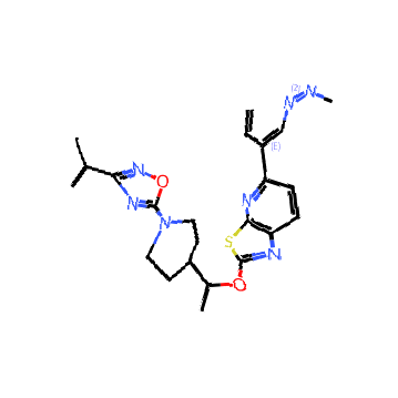 C=C/C(=C\N=N/C)c1ccc2nc(OC(C)C3CCN(c4nc(C(C)C)no4)CC3)sc2n1